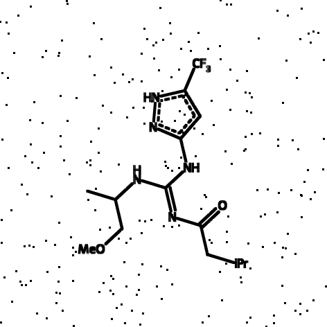 COCC(C)N/C(=N/C(=O)CC(C)C)Nc1cc(C(F)(F)F)[nH]n1